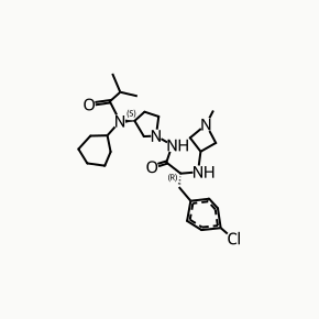 CC(C)C(=O)N(C1CCCCC1)[C@H]1CCN(NC(=O)[C@@H](Cc2ccc(Cl)cc2)NC2CN(C)C2)C1